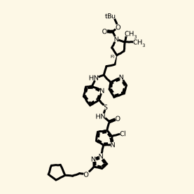 CC(C)(C)OC(=O)N1C[C@H](CCC(Nc2cccc(SNC(=O)c3ccc(-n4ccc(OCCC5CCCC5)n4)nc3Cl)n2)c2ccccn2)CC1(C)C